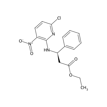 CCOC(=O)C[C@@H](Nc1nc(Cl)ccc1[N+](=O)[O-])c1ccccc1